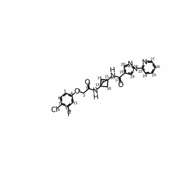 O=C(COc1ccc(Cl)c(F)c1)NC12CC(NC(=O)c3cnn(-c4ccccn4)c3)(C1)C2